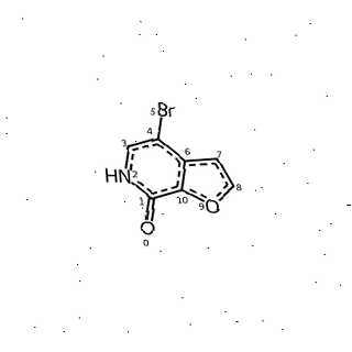 O=c1[nH]cc(Br)c2ccoc12